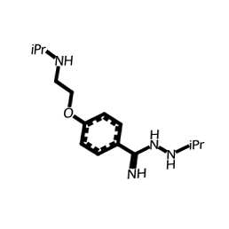 CC(C)NCCOc1ccc(C(=N)NNC(C)C)cc1